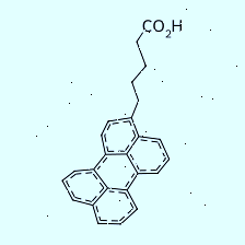 O=C(O)CCCCc1ccc2c3cccc4cccc(c5cccc1c52)c43